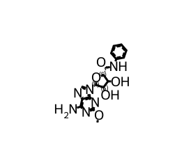 COc1nc(N)c2ncn([C@@H]3O[C@H](C(=O)Nc4ccccc4)C(O)[C@@H]3O)c2n1